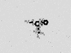 CCC(=O)OC1CCN(S(=O)(=O)c2ccccc2C)[C@H](NC(=O)OC(C)(C)C)C1